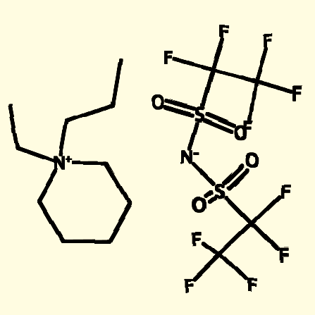 CCC[N+]1(CC)CCCCC1.O=S(=O)([N-]S(=O)(=O)C(F)(F)C(F)(F)F)C(F)(F)C(F)(F)F